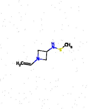 C=CN1CC(NSC)C1